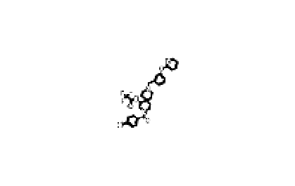 O=C(c1ccc(Cl)cc1)N1CCC2(CCN(Cc3cccc(Oc4ccccn4)c3)CC2)C(OC(=O)C(F)(F)F)C1